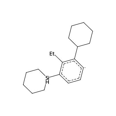 CCc1c(C2CCCCC2)[c]ccc1[SiH]1CCCCC1